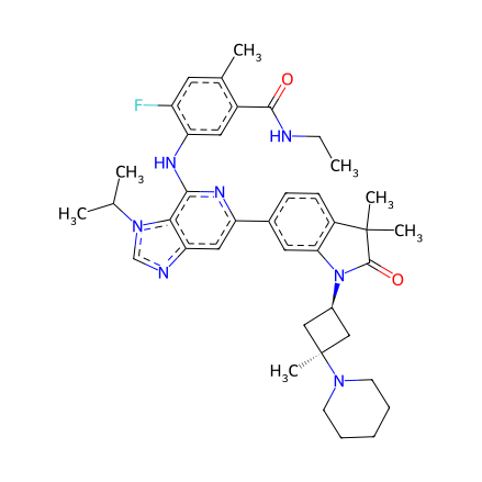 CCNC(=O)c1cc(Nc2nc(-c3ccc4c(c3)N([C@H]3C[C@@](C)(N5CCCCC5)C3)C(=O)C4(C)C)cc3ncn(C(C)C)c23)c(F)cc1C